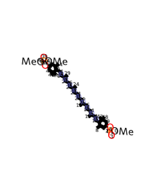 COP(C)(=O)OC1C=C(C)C(/C=C/C(C)=C/C=C/C(C)=C/C=C/C=C(C)/C=C/C=C(C)/C=C/C2=C(C)CC(OP(=O)(OC)OC)CC2(C)C)C(C)(C)C1